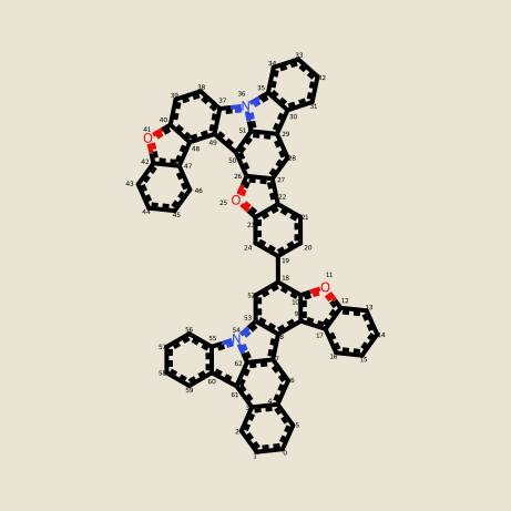 c1ccc2c(c1)cc1c3c4c(oc5ccccc54)c(-c4ccc5c(c4)oc4c5cc5c6ccccc6n6c7ccc8oc9ccccc9c8c7c4c56)cc3n3c4ccccc4c2c13